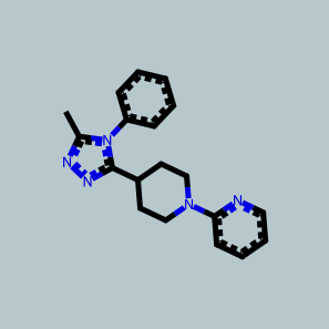 Cc1nnc(C2CCN(c3ccccn3)CC2)n1-c1ccccc1